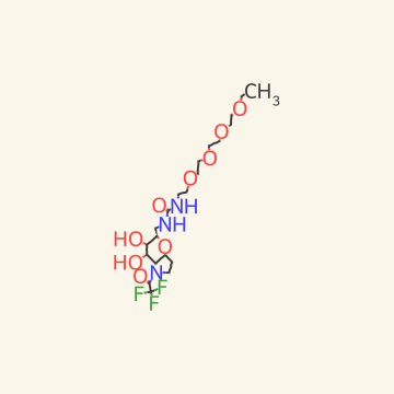 CCOCCOCCOCCOCCNC(=O)NC[C@H]1OC2CCN(C(=O)C(F)(F)F)C2[C@@H](O)[C@H]1O